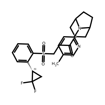 Cc1ccc(N2C3CCC2CN(C(=O)CCS(=O)(=O)c2ccccc2[C@@H]2CC2(F)F)C3)nc1